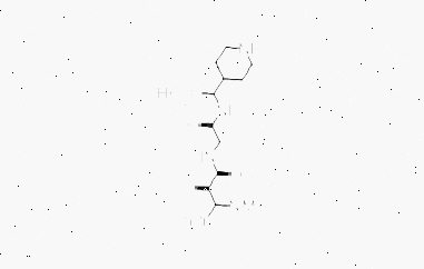 CCCC(NC)C(=O)C(=O)NCC(=O)NC(C(=O)O)C1CCNCC1